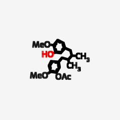 COc1ccc(CC(C)C(C)Cc2ccc(OC)c(OC(C)=O)c2)cc1O